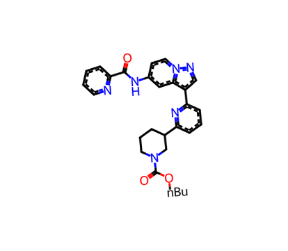 CCCCOC(=O)N1CCCC(c2cccc(-c3cnn4ccc(NC(=O)c5ccccn5)cc34)n2)C1